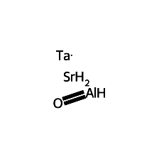 [O]=[AlH].[SrH2].[Ta]